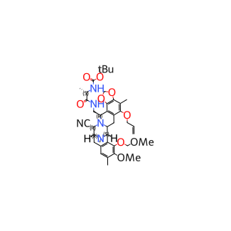 C=CCOc1c(C)c2c(c3c1CC1[C@@H]4c5c(cc(C)c(OC)c5OCOC)C[C@H]([C@H](C#N)N1[C@H]3CNC(=O)[C@H](C)NC(=O)OC(C)(C)C)N4C)OCO2